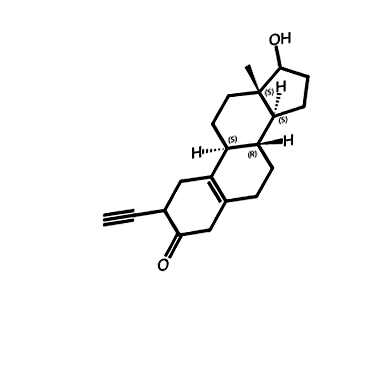 C#CC1CC2=C(CC[C@@H]3[C@@H]2CC[C@]2(C)C(O)CC[C@@H]32)CC1=O